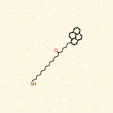 O=C(CCCCCCCCCCCCS)CCCCc1ccc2ccc3cccc4ccc1c2c34